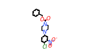 O=C(OCc1ccccc1)N1CCN(c2ccc(Cl)c([N+](=O)[O-])c2)CC1